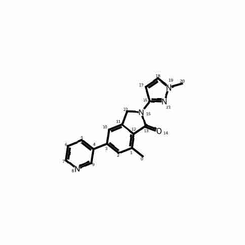 Cc1cc(-c2cccnc2)cc2c1C(=O)N(c1ccn(C)n1)C2